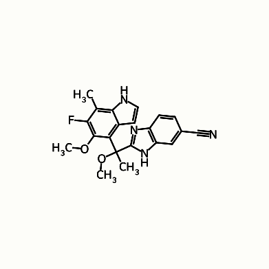 COc1c(F)c(C)c2[nH]ccc2c1C(C)(OC)c1nc2ccc(C#N)cc2[nH]1